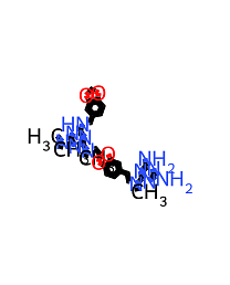 CN(C)c1nc(NCc2ccc3c(c2)OCO3)nc(N(C)CC2Oc3ccc(CCN(C)c4nc(N)nc(N)n4)cc3O2)n1